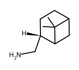 CC1(C)C2CC[C@@H](CN)C1C2